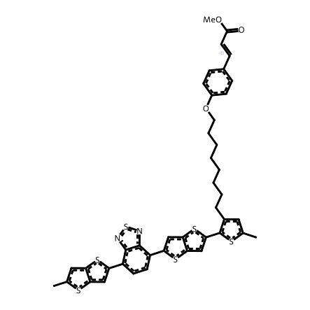 COC(=O)/C=C/c1ccc(OCCCCCCCCc2cc(C)sc2-c2cc3sc(-c4ccc(-c5cc6sc(C)cc6s5)c5nsnc45)cc3s2)cc1